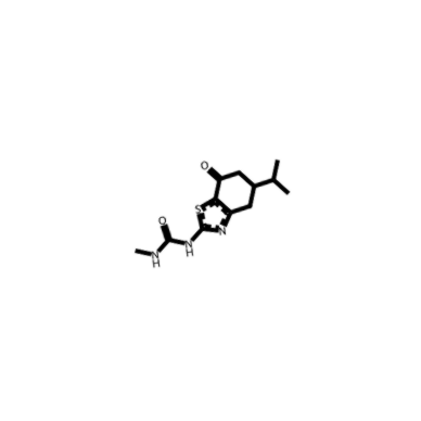 CNC(=O)Nc1nc2c(s1)C(=O)CC(C(C)C)C2